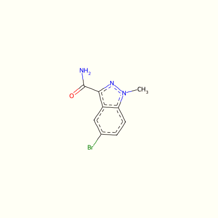 Cn1nc(C(N)=O)c2cc(Br)ccc21